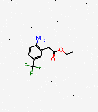 CCOC(=O)Cc1cc(C(F)(F)F)ccc1N